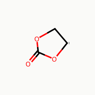 O=C1O[C]CO1